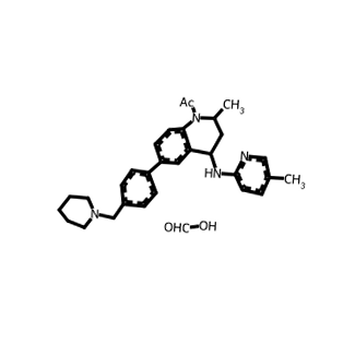 CC(=O)N1c2ccc(-c3ccc(CN4CCCCC4)cc3)cc2C(Nc2ccc(C)cn2)CC1C.O=CO